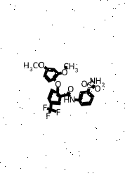 COc1ccc(Oc2ccc(C(F)(F)F)cc2C(=O)Nc2cccc(S(N)(=O)=O)c2)c(OC)c1